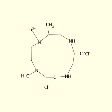 CC1CNCCNCCN(C)CC[N]1[Ti+3].[Cl-].[Cl-].[Cl-]